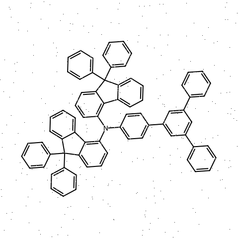 c1ccc(-c2cc(-c3ccccc3)cc(-c3ccc(N(c4cccc5c4-c4ccccc4C5(c4ccccc4)c4ccccc4)c4cccc5c4-c4ccccc4C5(c4ccccc4)c4ccccc4)cc3)c2)cc1